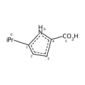 CC(C)c1ccc(C(=O)O)[nH]1